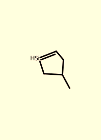 CC1CC=[SiH]C1